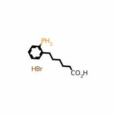 Br.O=C(O)CCCCCc1ccccc1P